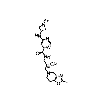 CC(=O)N1CC(Nc2cc(C(=O)NC[C@H](O)CN3CCc4oc(C)nc4C3)ncn2)C1